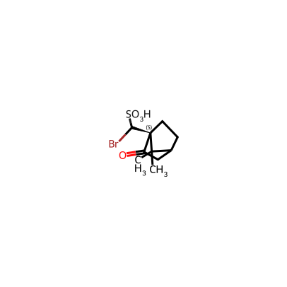 CC1(C)C2CC[C@@]1(C(Br)S(=O)(=O)O)C(=O)C2